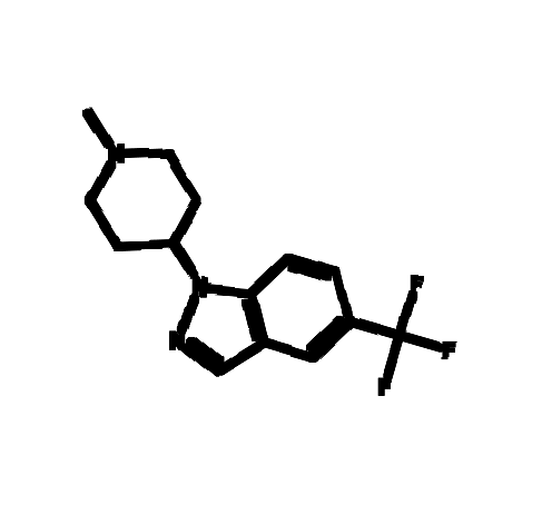 CN1CCC(n2ncc3cc(C(F)(F)F)ccc32)CC1